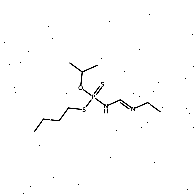 CCCCSP(=S)(NC=NCC)OC(C)C